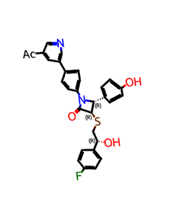 CC(=O)c1cncc(-c2ccc(N3C(=O)[C@H](SC[C@H](O)c4ccc(F)cc4)[C@H]3c3ccc(O)cc3)cc2)c1